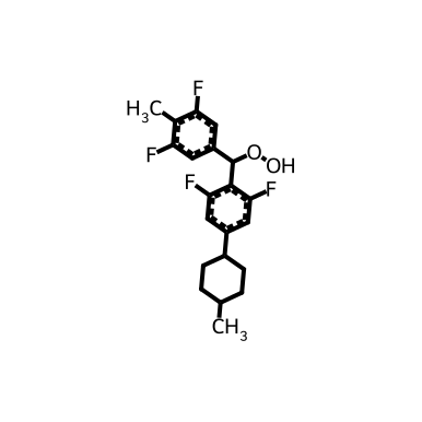 Cc1c(F)cc(C(OO)c2c(F)cc(C3CCC(C)CC3)cc2F)cc1F